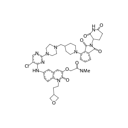 CNC(=O)COc1cc2cc(Nc3nc(N4CCN(CC5CCN(c6cccc7c6C(=O)N(C6CCC(=O)NC6=O)C7=O)CC5)CC4)ncc3Cl)ccc2n(CCC2COC2)c1=O